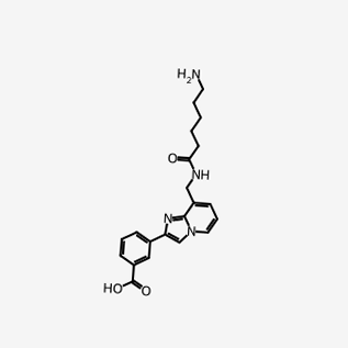 NCCCCCC(=O)NCc1cccn2cc(-c3cccc(C(=O)O)c3)nc12